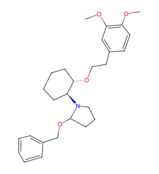 COc1ccc(CCO[C@H]2CCCC[C@@H]2N2CCCC2OCc2ccccc2)cc1OC